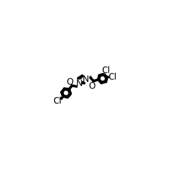 O=C(Cn1cc[n+](CC(=O)c2ccc(Cl)c(Cl)c2)c1)c1ccc(Cl)cc1